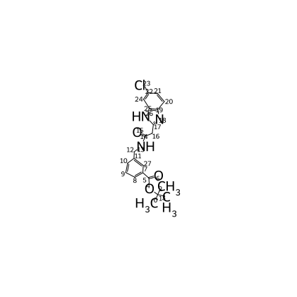 CC(C)(C)OC(=O)c1cccc(CNC(=O)Cc2nc3ccc(Cl)cc3[nH]2)c1